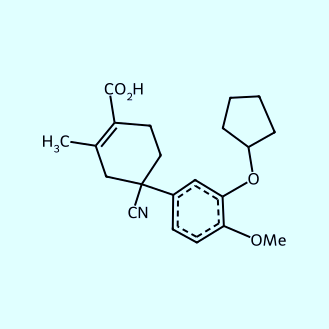 COc1ccc(C2(C#N)CCC(C(=O)O)=C(C)C2)cc1OC1CCCC1